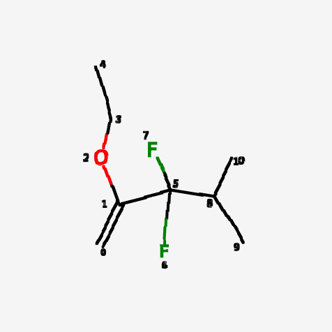 C=C(OCC)C(F)(F)C(C)C